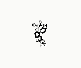 CC1CCN(c2c(Cl)cccc2C=C2SC(=O)NC2=O)CC1NC(=O)OC(C)(C)C